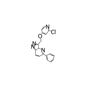 Clc1cc(OCC2=NN=C3C=CC(c4ccccc4)=NC32)ccn1